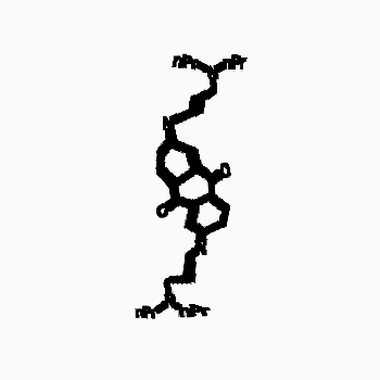 CCCN(CC=CN=C1C=C2C(=O)C3=CCC(=NC=CCN(CCC)CCC)C=C3C(=O)C2=CC1)CCC